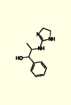 CC(NC1=NCCN1)C(O)c1ccccc1